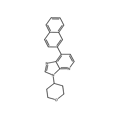 c1ccc2cc(-c3ccnc4c3ncn4C3CCOCC3)ccc2c1